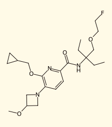 CCC(CC)(COCCF)NC(=O)c1ccc(N2CC(OC)C2)c(OCC2CC2)n1